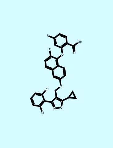 O=C(O)c1ccc(F)cc1Oc1c(F)ccc2cc(OCc3c(-c4c(Cl)cccc4Cl)noc3C3CC3)ccc12